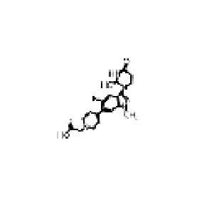 Cn1nc(N2CCC(=O)NC2O)c2cc(F)c(C3CCN(CC(=O)O)CC3)cc21